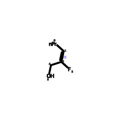 CCC/C=C(/F)CO